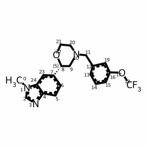 Cn1cnc2ccc([C@H]3CN(Cc4cccc(OC(F)(F)F)c4)CCO3)cc21